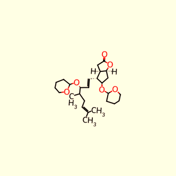 CC(C)=CCC(C)[C@@H](/C=C/[C@@H]1[C@H]2CC(=O)O[C@H]2C[C@H]1OC1CCCCO1)OC1CCCCO1